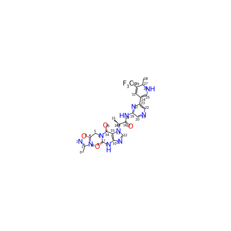 Cc1noc(Cn2c(=O)[nH]c3ncn([C@@H](C)C(=O)Nc4cncc(C5=CNC(C)C(C(F)(F)F)=C5)n4)c3c2=O)n1